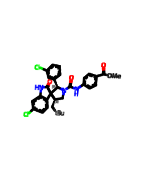 COC(=O)c1ccc(NC(=O)N2C[C@@H](CC(C)(C)C)C3(C(=O)Nc4cc(Cl)ccc43)[C@H]2c2cccc(Cl)c2)cc1